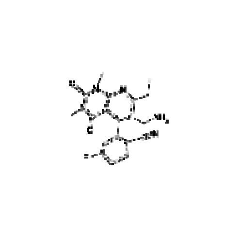 Cn1c(=O)c2c(-c3cc(F)ccc3C#N)c(CN)c(CF)nc2n(C)c1=O